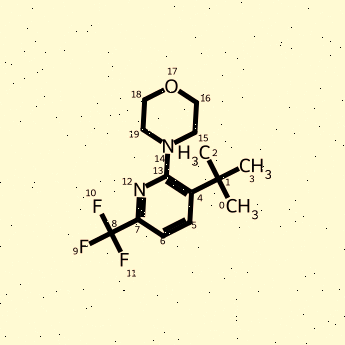 CC(C)(C)c1ccc(C(F)(F)F)nc1N1CCOCC1